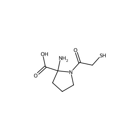 NC1(C(=O)O)CCCN1C(=O)CS